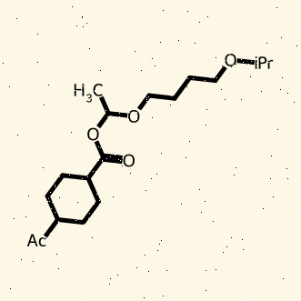 CC(=O)C1CCC(C(=O)OC(C)OCCCCOC(C)C)CC1